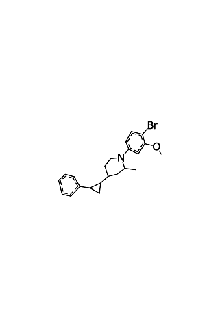 COc1cc(N2CCC(C3CC3c3ccccc3)CC2C)ccc1Br